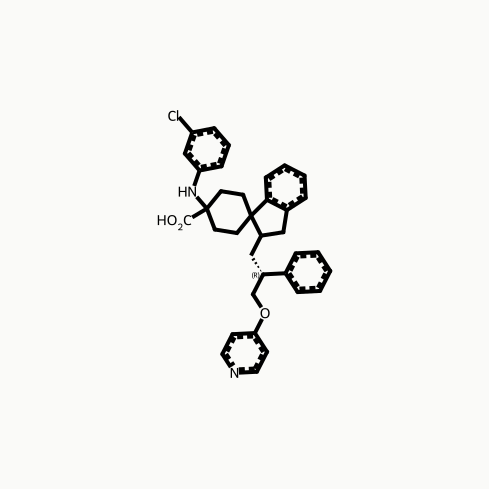 O=C(O)C1(Nc2cccc(Cl)c2)CCC2(CC1)c1ccccc1CC2C[C@@H](COc1ccncc1)c1ccccc1